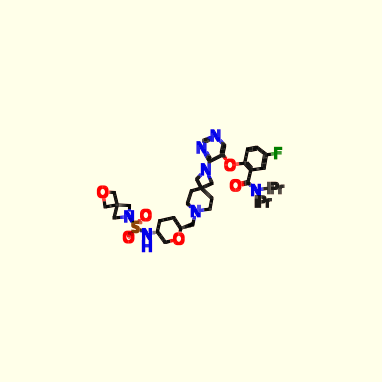 CC(C)N(C(=O)c1cc(F)ccc1Oc1cncnc1N1CC2(CCN(C[C@@H]3CC[C@@H](NS(=O)(=O)N4CC5(COC5)C4)CO3)CC2)C1)C(C)C